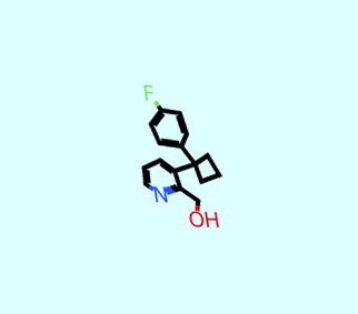 OCc1ncccc1C1(c2ccc(F)cc2)CCC1